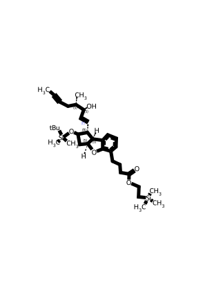 CC#CC[C@H](C)[C@H](O)/C=C/[C@H]1C(O[Si](C)(C)C(C)(C)C)C[C@@H]2Oc3c(CCCC(=O)OCC[Si](C)(C)C)cccc3[C@@H]21